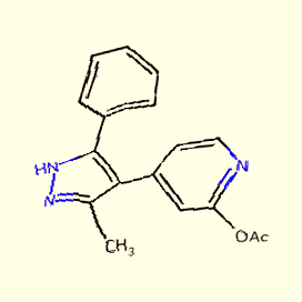 CC(=O)Oc1cc(-c2c(C)n[nH]c2-c2ccccc2)ccn1